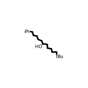 CC(C)CCCCCC(O)CCCCCC(C)(C)C